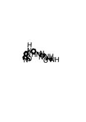 COc1nccc2ccc(N[C@H]3CC[C@H](CNc4ncc(NC(=O)C5CNC5)cn4)CC3)nc12